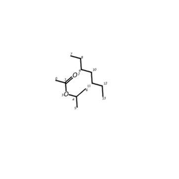 CC(=O)OC(C)C.CCCCCCC